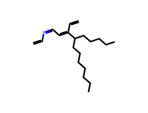 C=C/N=C\C=C(/C=C)C(CCCCC)CCCCCCC